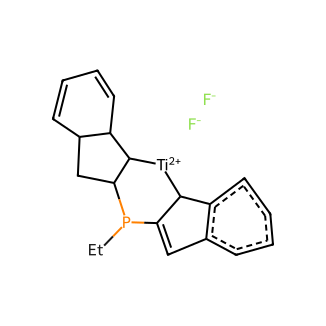 CCP1C2=Cc3ccccc3[CH]2[Ti+2][CH]2C3C=CC=CC3CC21.[F-].[F-]